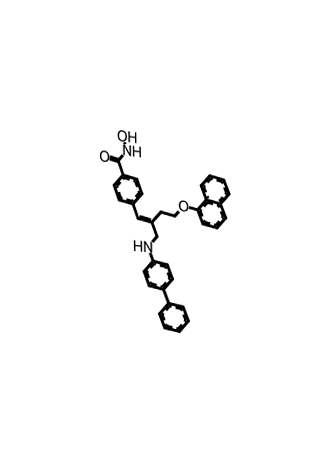 O=C(NO)c1ccc(/C=C(\CCOc2cccc3ccccc23)CNc2ccc(-c3ccccc3)cc2)cc1